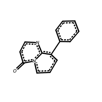 O=c1ccnc2c(-c3ccccc3)cccn12